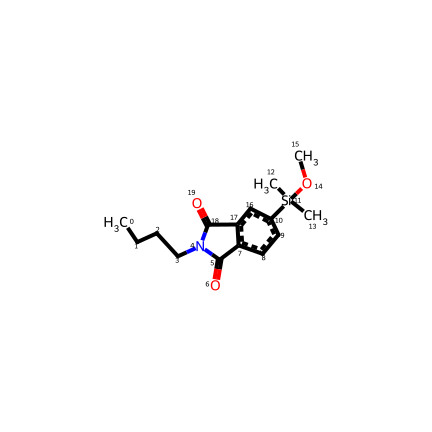 CCCCN1C(=O)c2ccc([Si](C)(C)OC)cc2C1=O